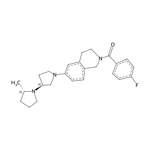 C[C@H]1CCCN1[C@H]1CCN(c2ccc3c(c2)CCN(C(=O)c2ccc(F)cc2)C3)C1